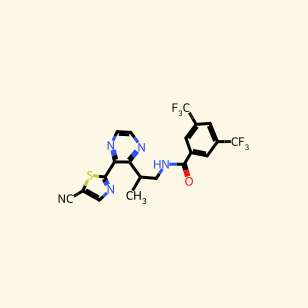 CC(CNC(=O)c1cc(C(F)(F)F)cc(C(F)(F)F)c1)c1nccnc1-c1ncc(C#N)s1